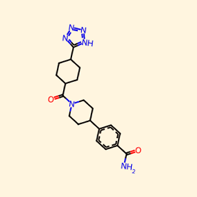 NC(=O)c1ccc(C2CCN(C(=O)C3CCC(c4nnn[nH]4)CC3)CC2)cc1